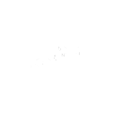 CC(O)Cc1cnc(-c2ccc(-c3ccc(Cl)cc3)cn2)nc1